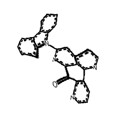 O=C1c2ncccc2-c2nccc3cc(-n4c5ccccc5c5ccccc54)nc1c23